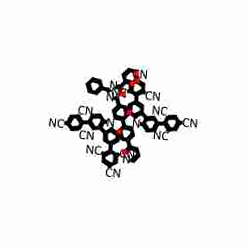 N#Cc1cc(C#N)c(-c2ccc3c(c2)c2cc(-c4c(C#N)cc(C#N)cc4C#N)ccc2n3-c2cc(-c3cccnc3)ccc2-c2ccc(-c3nc(-c4ccccc4)nc(-c4ccccc4)n3)cc2-n2c3ccc(-c4c(C#N)cc(C#N)cc4C#N)cc3c3cc(-c4c(C#N)cc(C#N)cc4C#N)ccc32)c(C#N)c1